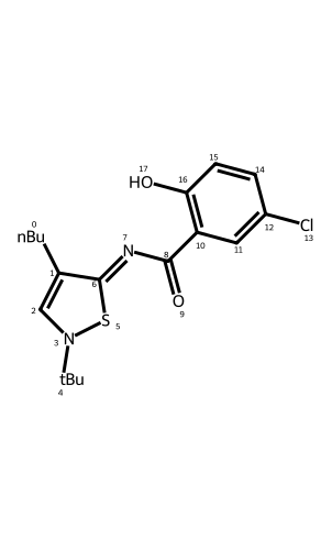 CCCCc1cn(C(C)(C)C)sc1=NC(=O)c1cc(Cl)ccc1O